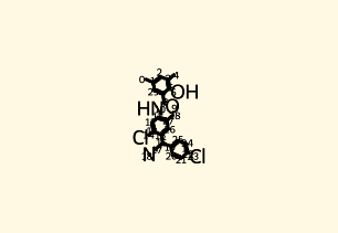 Cc1cc(C)c(O)c(C(=O)Nc2cc(Cl)c(C(C#N)c3ccc(Cl)cc3)cc2C)c1